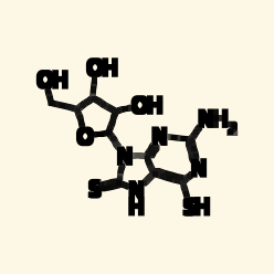 Nc1nc(S)c2[nH]c(=S)n(C3OC(CO)C(O)C3O)c2n1